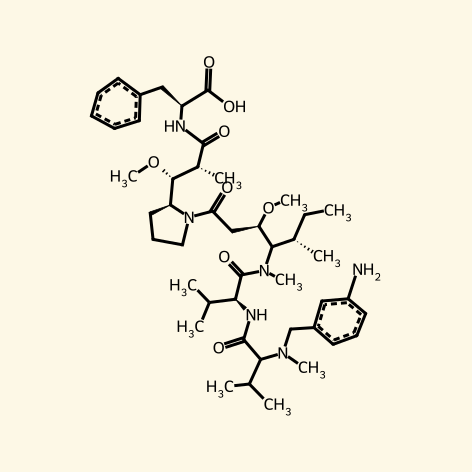 CC[C@H](C)C([C@@H](CC(=O)N1CCC[C@H]1[C@H](OC)[C@@H](C)C(=O)N[C@@H](Cc1ccccc1)C(=O)O)OC)N(C)C(=O)[C@@H](NC(=O)C(C(C)C)N(C)Cc1cccc(N)c1)C(C)C